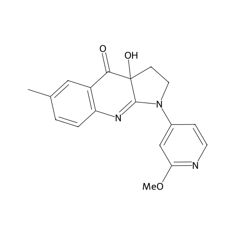 COc1cc(N2CCC3(O)C(=O)c4cc(C)ccc4N=C23)ccn1